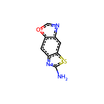 Nc1nc2cc3ocnc3cc2s1